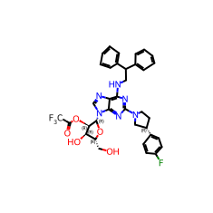 O=C(O[C@@H]1[C@H](O)[C@@H](CO)O[C@H]1n1cnc2c(NCC(c3ccccc3)c3ccccc3)nc(N3CC[C@H](c4ccc(F)cc4)C3)nc21)C(F)(F)F